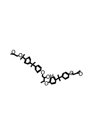 CC(Oc1ccc(C(C)(C)c2ccc(OCC3CO3)cc2)cc1)C(O)COc1ccc(C(C)(C)c2ccc(C(C)(C)OCC3CO3)cc2)cc1